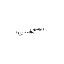 CCCCCCCC=CCOc1cnc(-c2ccc(OCCCCOCCC)cc2)nc1